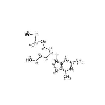 Cc1nc(N)nc2c1ncn2C[C@@H](CCOC(=O)CC(C)C)COCO